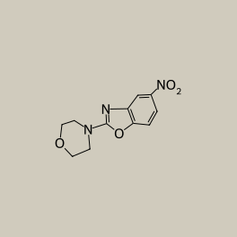 O=[N+]([O-])c1ccc2oc(N3CCOCC3)nc2c1